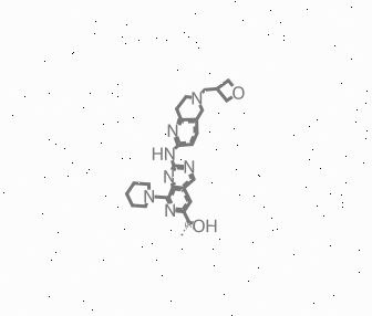 C[C@@H](O)c1cc2cnc(Nc3ccc4c(n3)CCN(CC3COC3)C4)nc2c(N2CCCCC2)n1